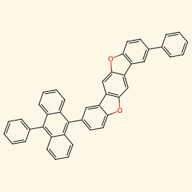 c1ccc(-c2ccc3oc4cc5c(cc4c3c2)oc2ccc(-c3c4ccccc4c(-c4ccccc4)c4ccccc34)cc25)cc1